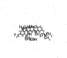 COc1ccc(CC(=O)N(C)C)cc1N(C)c1ccc2nc(C)cc(N[C@H](C)c3cc(N)cc(C(F)(F)F)c3)c2c1.O=CO